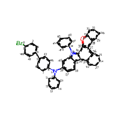 Brc1ccc(-c2ccc(N(c3ccccc3)c3ccc4c5c6ccccc6c6c7ccccc7oc6c5n(-c5ccccc5)c4c3)cc2)cc1